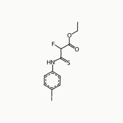 CCOC(=O)C(F)C(=S)Nc1ccc(I)cc1